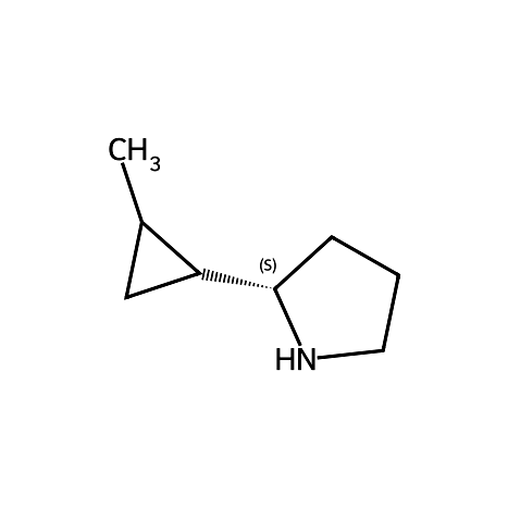 CC1CC1[C@@H]1CCCN1